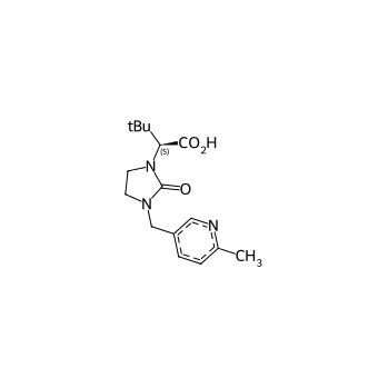 Cc1ccc(CN2CCN([C@H](C(=O)O)C(C)(C)C)C2=O)cn1